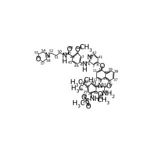 COc1cc(Nc2cc(Oc3ccc(N(C(N)=O)c4cc(C(C)(C)C)cc(NS(C)(=O)=O)c4OC)c4ccccc34)ccn2)ccc1C(=O)NCCCN1CCOCC1